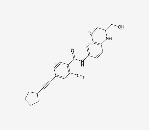 Cc1cc(C#CC2CCCC2)ccc1C(=O)Nc1ccc2c(c1)OCC(CO)N2